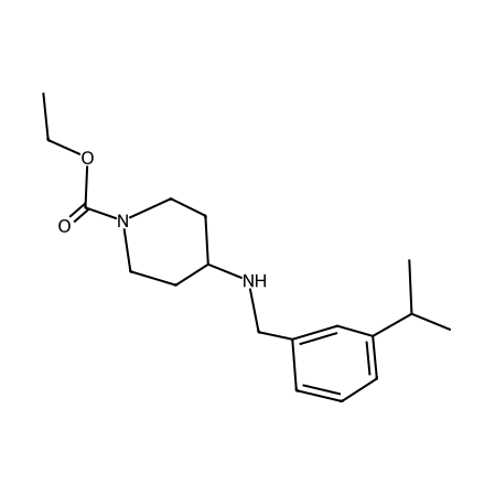 CCOC(=O)N1CCC(NCc2cccc(C(C)C)c2)CC1